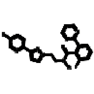 CCN(CCn1ccc(-c2ccc(F)cn2)n1)C(=O)c1c(F)cccc1-c1ncccn1